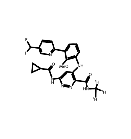 [2H]C([2H])([2H])NC(=O)c1nnc(NC(=O)C2CC2)cc1Nc1cccc(-c2ccc(C(F)F)cn2)c1OC